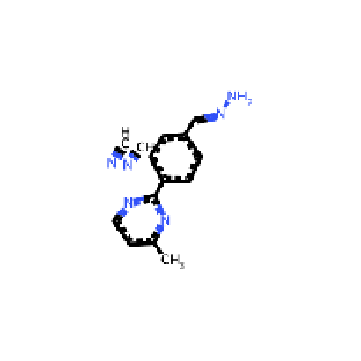 C#N.C#N.Cc1ccnc(-c2ccc(C=NN)cc2)n1